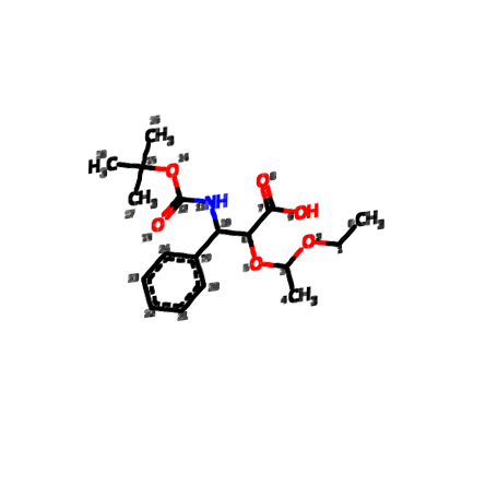 CCOC(C)OC(C(=O)O)C(NC(=O)OC(C)(C)C)c1ccccc1